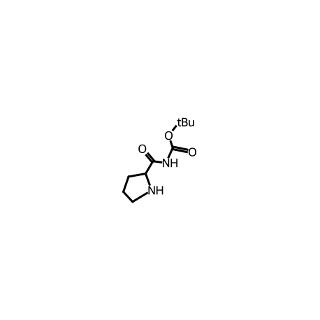 CC(C)(C)OC(=O)NC(=O)C1CCCN1